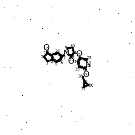 O=C1CCc2ccc(N3CC[C@@H](Oc4ccc(OCC5CC5)nc4)C3=O)cc21